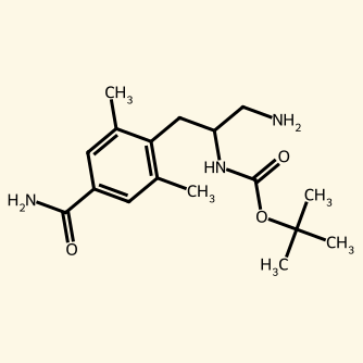 Cc1cc(C(N)=O)cc(C)c1CC(CN)NC(=O)OC(C)(C)C